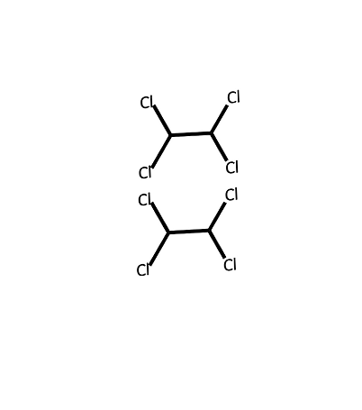 ClC(Cl)C(Cl)Cl.ClC(Cl)C(Cl)Cl